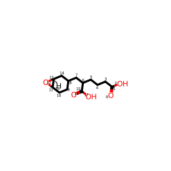 O=C(O)CCCC(CC1CCC2O[C@H]2C1)C(=O)O